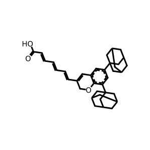 O=C(O)C=CC=CC=CC1=Cc2cc(C34CC5CC(CC(C5)C3)C4)cc(C34CC5CC(CC(C5)C3)C4)c2OC1